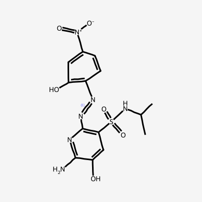 CC(C)NS(=O)(=O)c1cc(O)c(N)nc1/N=N/c1ccc([N+](=O)[O-])cc1O